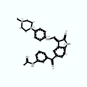 CC(=O)Nc1cccc(C(=O)c2ccc3c(c2)/C(=C\Nc2ccc(N4CCN(C)CC4)cc2)C(=O)N3)c1